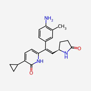 Cc1cc(/C(=C\[C@H]2CCC(=O)N2)c2ccc(C3CC3)c(=O)[nH]2)ccc1N